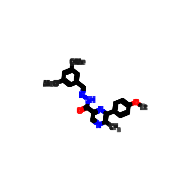 CCOc1ccc(-c2nc(C(=O)NN=Cc3cc(OC)cc(OC)c3)cnc2C(F)(F)F)cc1